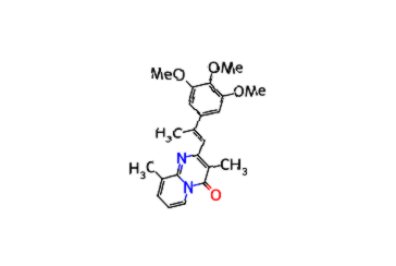 COc1cc(C(C)=Cc2nc3c(C)cccn3c(=O)c2C)cc(OC)c1OC